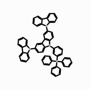 c1ccc(S(c2ccccc2)(c2ccccc2)c2cccc(-n3c4ccc(-n5c6ccccc6c6ccccc65)cc4c4cc(-n5c6ccccc6c6ccccc65)ccc43)c2)cc1